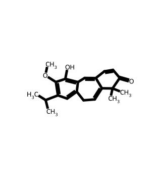 COc1c(C(C)C)cc2c(c1O)C=C1C=CC(=O)C(C)(C)C1=CC2